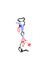 Cc1cccc(CC(OC(=O)N2CCC(N3CCc4ccccc4NC3=O)CC2)C(=O)O)c1